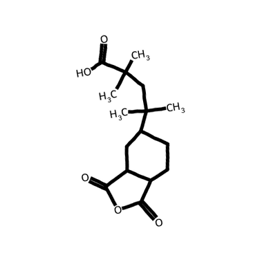 CC(C)(CC(C)(C)C1CCC2C(=O)OC(=O)C2C1)C(=O)O